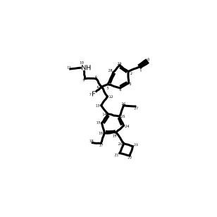 C#Cc1ccc(C(F)(CCNC)CCc2cc(CC)c(C3CCC3)cc2CC)cc1